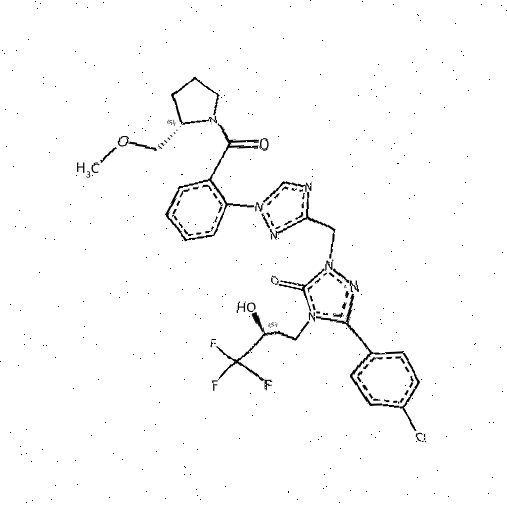 COC[C@@H]1CCCN1C(=O)c1ccccc1-n1cnc(Cn2nc(-c3ccc(Cl)cc3)n(C[C@H](O)C(F)(F)F)c2=O)n1